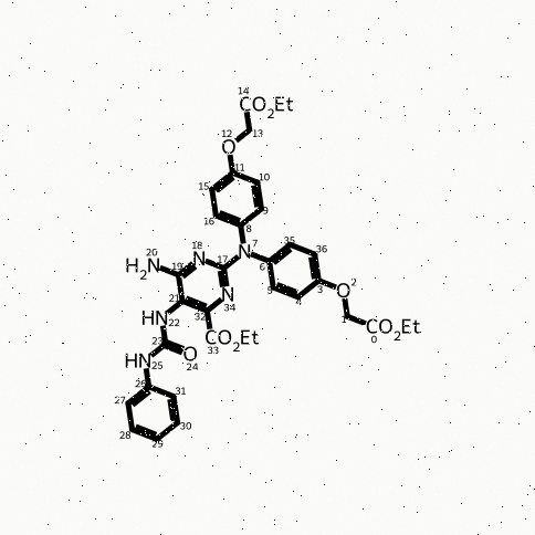 CCOC(=O)COc1ccc(N(c2ccc(OCC(=O)OCC)cc2)c2nc(N)c(NC(=O)Nc3ccccc3)c(C(=O)OCC)n2)cc1